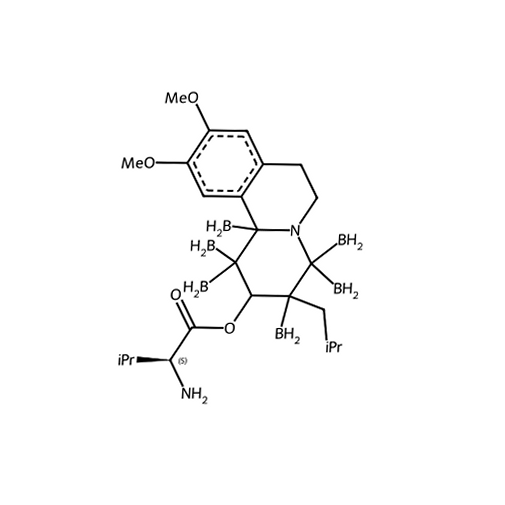 BC1(B)C(OC(=O)[C@@H](N)C(C)C)C(B)(CC(C)C)C(B)(B)N2CCc3cc(OC)c(OC)cc3C21B